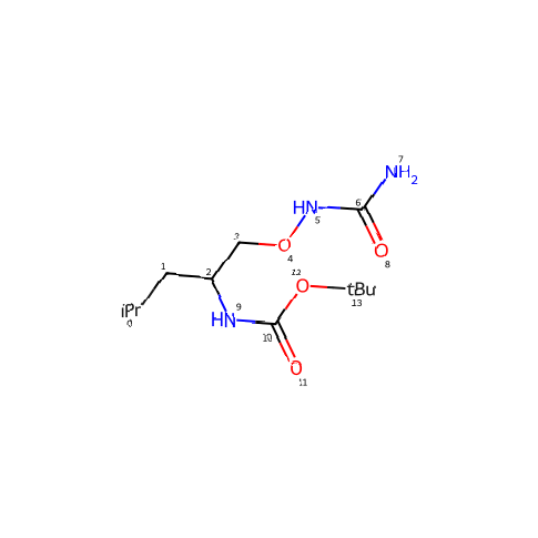 CC(C)CC(CONC(N)=O)NC(=O)OC(C)(C)C